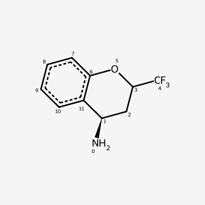 N[C@@H]1CC(C(F)(F)F)Oc2ccccc21